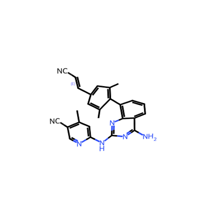 Cc1cc(Nc2nc(N)c3cccc(-c4c(C)cc(/C=C/C#N)cc4C)c3n2)ncc1C#N